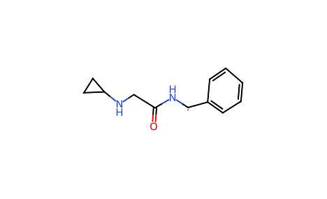 O=C(CNC1CC1)N[CH]c1ccccc1